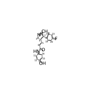 Cn1ncc(C=CC(=O)Nc2ccc(O)cc2)c1-c1ccc(F)cc1